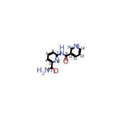 NC(=O)c1cccc(NC(=O)c2cccnc2)n1